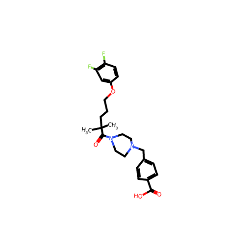 CC(C)(CCCOc1ccc(F)c(F)c1)C(=O)N1CCN(Cc2ccc(C(=O)O)cc2)CC1